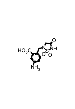 Nc1ccc(CN2CC(=O)NS2(=O)=O)c(C(=O)O)c1